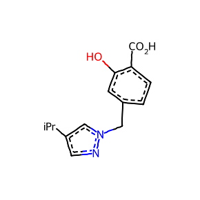 CC(C)c1cnn(Cc2ccc(C(=O)O)c(O)c2)c1